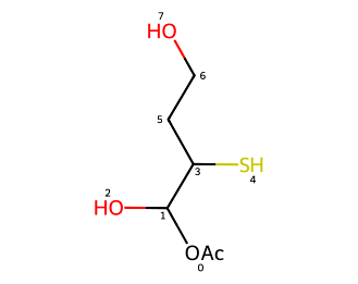 CC(=O)OC(O)C(S)CCO